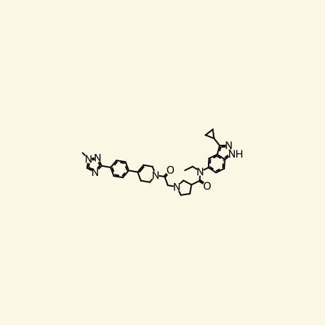 CCN(C(=O)C1CCN(CC(=O)N2CC=C(c3ccc(-c4ncn(C)n4)cc3)CC2)C1)c1ccc2[nH]nc(C3CC3)c2c1